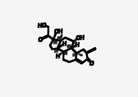 C=C1C[C@@]2(C)C(=CC1=O)CC[C@@H]1[C@@H]2[C@@H](O)C[C@@]2(C)[C@H]1CC[C@]2(O)C(=O)CO